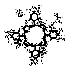 CC(=O)[O-].CC1=CC(C)(S(=O)(=O)[O-])CC(C)(S(=O)(=O)[O-])C1c1c2nc(c(C3C(C)=CC(C)(S(=O)(=O)[O-])CC3(C)S(=O)(=O)[O-])c3ccc([nH]3)c(C3C(C)=CC(C)(S(=O)(=O)[O-])CC3(C)S(=O)(=O)[O-])c3nc(c(C4C(C)=CC(C)(S(=O)(=O)[O-])CC4(C)S(=O)(=O)[O-])c4ccc1[nH]4)C=C3)C=C2.[Fe+3].[Fe+3].[Fe+3]